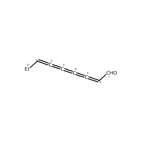 CCC=C=C=C=C=CC=O